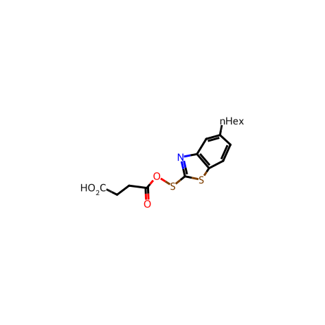 CCCCCCc1ccc2sc(SOC(=O)CCC(=O)O)nc2c1